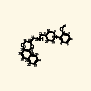 COc1ccccc1N1CCC(CNCC2COc3ccc4ccccc4c3O2)CC1